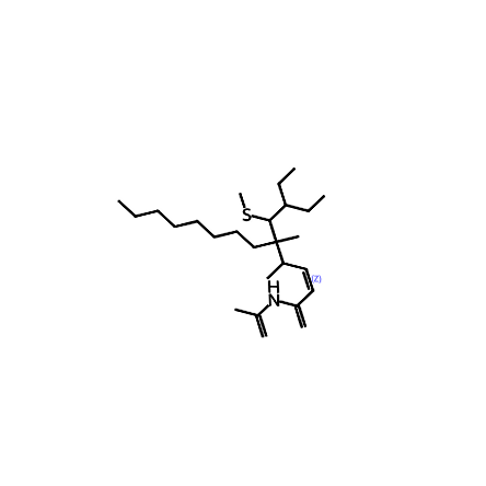 C=C(C)NC(=C)/C=C\C(C)C(C)(CCCCCCCC)C(SC)C(CC)CC